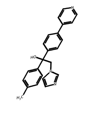 Cc1ccc(C(O)(Cn2ccnc2)c2ccc(-c3ccncc3)cc2)cc1